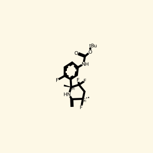 C=C1N[C@](C)(c2cc(NC(=O)OC(C)(C)C)ccc2F)C(F)(F)C[C@@]1(C)F